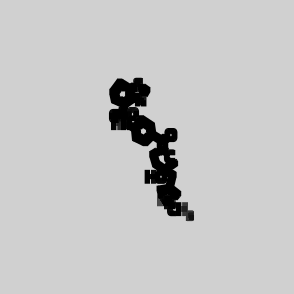 Cn1cc(CC2(O)CCN(C(=O)c3ccc(NS(=O)(=O)c4cccc5scnc45)cc3)CC2)cn1